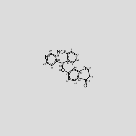 N#Cc1ccccc1[C@@H](Oc1ccc2c(c1)OCCC2=O)c1ccncc1